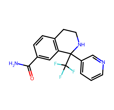 NC(=O)c1ccc2c(c1)C(c1cccnc1)(C(F)(F)F)NCC2